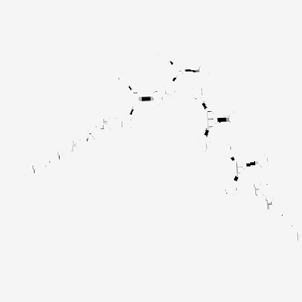 [K+].[K+].[K+].[K+].[K+].[K+].[K+].[K+].[K+].[K+].[K+].[K+].[O-]B([O-])[O-].[O-]B([O-])[O-].[O-]B([O-])[O-].[O-]B([O-])[O-]